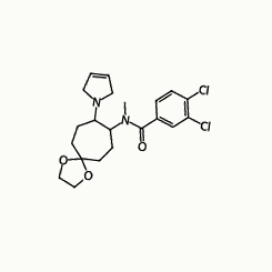 CN(C(=O)c1ccc(Cl)c(Cl)c1)C1CCC2(CCC1N1CC=CC1)OCCO2